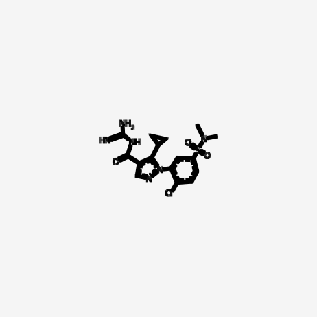 CN(C)S(=O)(=O)c1ccc(Cl)c(-n2ncc(C(=O)NC(=N)N)c2C2CC2)c1